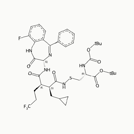 CC(C)(C)OC(=O)N[C@@H](CSNC(=O)[C@@H](CC1CC1)[C@@H](CCC(F)(F)F)C(=O)N[C@H]1N=C(c2ccccc2)c2cccc(F)c2NC1=O)C(=O)OC(C)(C)C